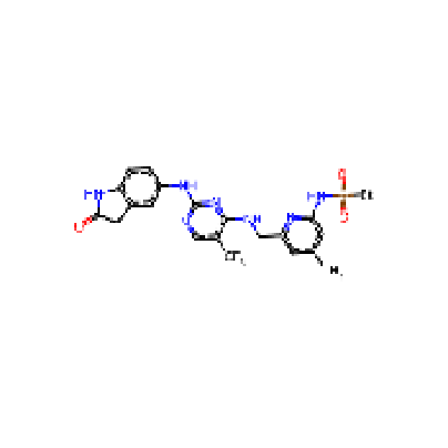 CCS(=O)(=O)Nc1cc(C)cc(CNc2nc(Nc3ccc4c(c3)CC(=O)N4)ncc2C(F)(F)F)n1